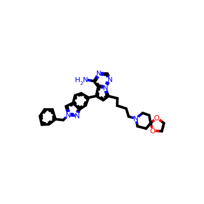 Nc1ncnn2c(CCCCN3CCC4(CC3)OCCO4)cc(-c3ccc4cn(Cc5ccccc5)nc4c3)c12